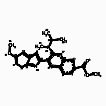 COC(=O)c1ccc2nc(C3=CC4=CC(OC)=CCC4=N3)c(N(C)C(C)C)nc2c1